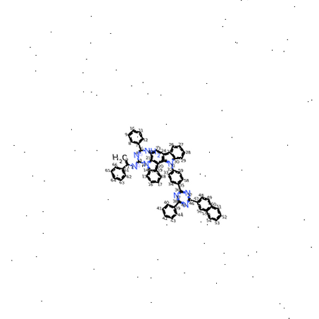 C=C(/N=C(\N=C(/N)c1ccccc1)n1c2ccccc2c2c1ccc1c3ccccc3n(-c3ccc(-c4nc(-c5ccccc5)nc(-c5ccc6ccccc6c5)n4)cc3)c12)c1ccccc1